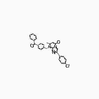 Cc1cc(=O)n2cc(-c3ccc(Cl)cc3)nc2n1Cc1ccc(C(=O)c2ccccc2)cc1